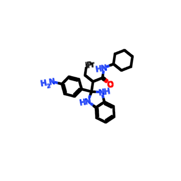 CC(C)CC(C(=O)NC1CCCCC1)C1(c2ccc(N)cc2)Nc2ccccc2N1